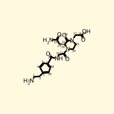 NCCc1ccc(C(=O)NCC(=O)N2CCN(CC(=O)O)C(=O)[C@@H]2CC(N)=O)cc1